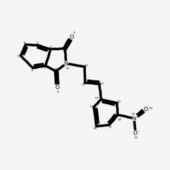 O=C1c2ccccc2C(=O)N1C/C=C/c1cccc([N+](=O)[O-])c1